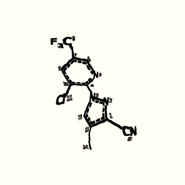 N#Cc1nn(-c2ncc(C(F)(F)F)cc2Cl)cc1I